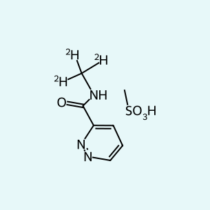 CS(=O)(=O)O.[2H]C([2H])([2H])NC(=O)c1cccnn1